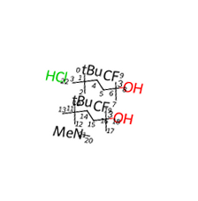 CC(C)(C)C(C)(C)CCC(C)(O)C(F)(F)F.CC(C)(C)C(C)(C)CCC(C)(O)C(F)(F)F.CNC.Cl